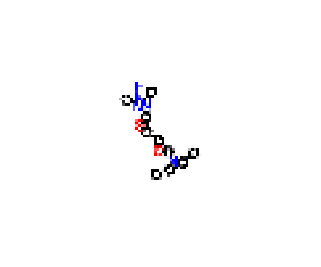 C1=CCC(c2ccc3c4ccc(-c5ccccc5)cc4n(-c4ccc5c(c4)oc4cc(-c6ccc7oc8cc(C9=NC(c%10ccccc%10)NC(C%10=CCCC=C%10)=N9)ccc8c7c6)ccc45)c3c2)C=C1